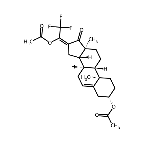 CC(=O)O/C(=C1\C[C@H]2[C@@H]3CC=C4C[C@@H](OC(C)=O)CC[C@]4(C)[C@H]3CC[C@]2(C)C1=O)C(F)(F)F